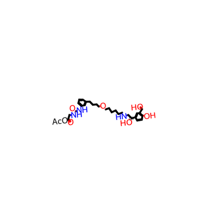 CC(=O)OC(=O)CNC(=O)Nc1cccc(CCCCOCCCCCCNC[C@@H](O)c2ccc(O)c(CO)c2)c1